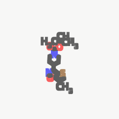 Cc1csc2c(C3CCN(C(=O)OC(C)(C)C)CC3)noc12